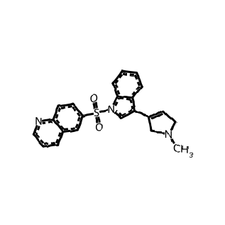 CN1CC=C(c2cn(S(=O)(=O)c3ccc4ncccc4c3)c3ccccc23)C1